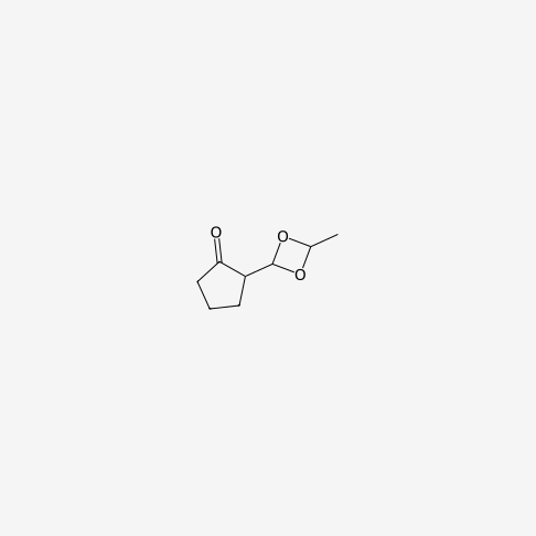 CC1OC(C2CCCC2=O)O1